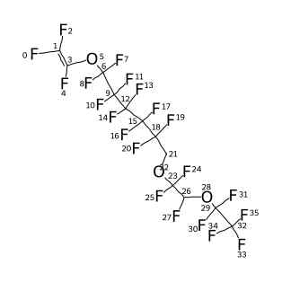 FC(F)=C(F)OC(F)(F)C(F)(F)C(F)(F)C(F)(F)C(F)(F)COC(F)(F)C(F)OC(F)(F)C(F)(F)F